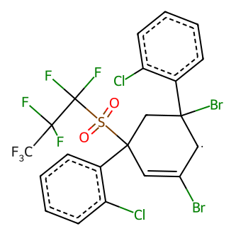 O=S(=O)(C1(c2ccccc2Cl)C=C(Br)[CH]C(Br)(c2ccccc2Cl)C1)C(F)(F)C(F)(F)C(F)(F)F